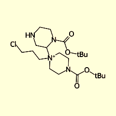 CC(C)(C)OC(=O)N1CC[N+](CCCCl)(C2CNCCN2C(=O)OC(C)(C)C)CC1